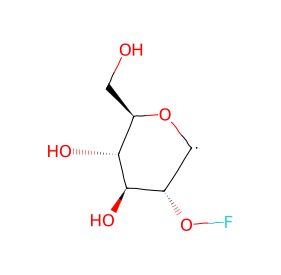 OC[C@H]1O[CH][C@H](OF)[C@@H](O)[C@@H]1O